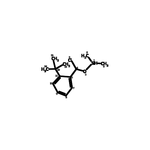 C[SiH](C)OC(Cl)c1ccccc1C(C)(C)C